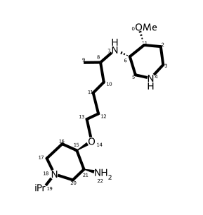 CO[C@@H]1CCNC[C@@H]1NC(C)CCCCO[C@@H]1CCN(C(C)C)C[C@@H]1N